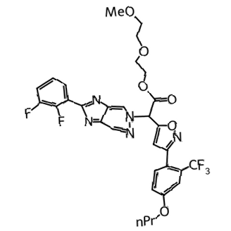 CCCOc1ccc(-c2cc(C(C(=O)OCCOCCOC)n3cc4nc(-c5cccc(F)c5F)nc-4cn3)on2)c(C(F)(F)F)c1